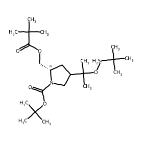 CC(C)(C)OC(=O)N1CC(C(C)(C)O[SiH2]C(C)(C)C)C[C@H]1COC(=O)C(C)(C)C